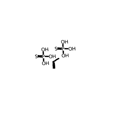 C=CC.OP(O)(O)=S.OP(O)(O)=S